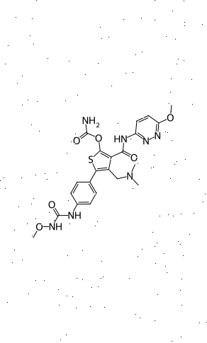 CONC(=O)Nc1ccc(-c2sc(OC(N)=O)c(C(=O)Nc3ccc(OC)nn3)c2CN(C)C)cc1